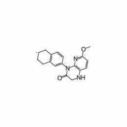 COc1ccc2c(n1)N(c1ccc3c(c1)CC[CH]C3)C(=O)CN2